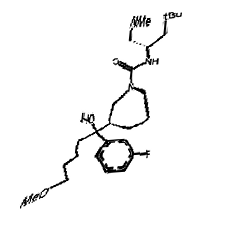 CNC[C@H](CC(C)(C)C)NC(=O)N1CCC[C@@H]([C@@](O)(CCCCOC)c2cccc(F)c2)C1